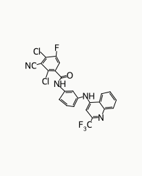 N#Cc1c(Cl)c(F)cc(C(=O)Nc2cccc(Nc3cc(C(F)(F)F)nc4ccccc34)c2)c1Cl